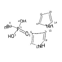 CCCCP(=O)(O)O.c1cc[nH]c1.c1cc[nH]c1